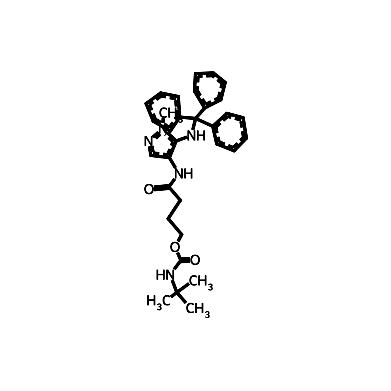 Cn1ncc(NC(=O)CCCOC(=O)NC(C)(C)C)c1NC(c1ccccc1)(c1ccccc1)c1ccccc1